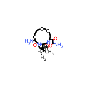 CC1(C)[C@@H]2[C@H]3C(=O)N[C@H](C(=O)C(N)=O)CCCCCCCCC[C@H](N)C(=O)N3C[C@@H]21